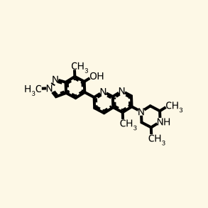 Cc1c(N2CC(C)NC(C)C2)cnc2nc(-c3cc4cn(C)nc4c(C)c3O)ccc12